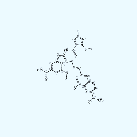 CCn1nc(C)cc1C(=O)Nc1nc2cc(C(N)=O)cc(OC)c2n1CC=CCNc1ccc(C(N)=O)cc1[N+](=O)[O-]